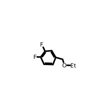 [CH2]COCc1ccc(F)c(F)c1